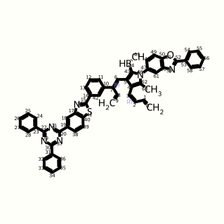 C=C/C=C\c1c(/C=C(\C=C)c2cccc(-c3nc4cc(-c5nc(-c6ccccc6)nc(-c6ccccc6)n5)ccc4s3)c2)c(BC)n(-c2ccc3oc(-c4ccccc4)nc3c2)c1C